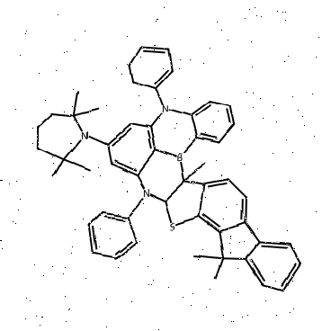 CC1(C)c2ccccc2-c2ccc3c(c21)SC1N(c2ccccc2)c2cc(N4C(C)(C)CCCC4(C)C)cc4c2B(c2ccccc2N4C2=CC=CCC2)C31C